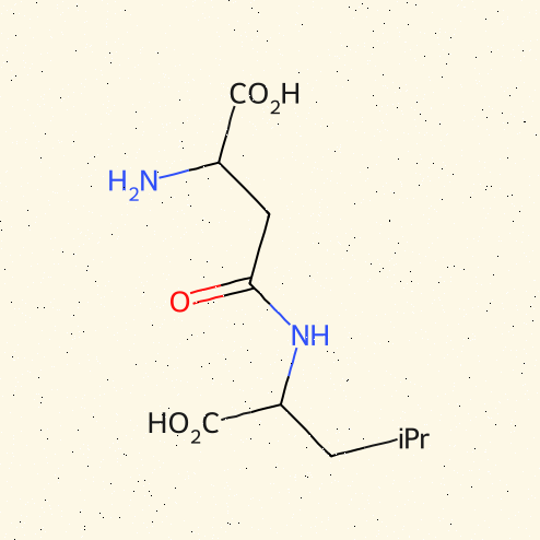 CC(C)CC(NC(=O)CC(N)C(=O)O)C(=O)O